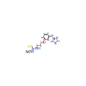 N#C/N=C(\S)NCCCOc1cccc(CN2CCCC2)c1